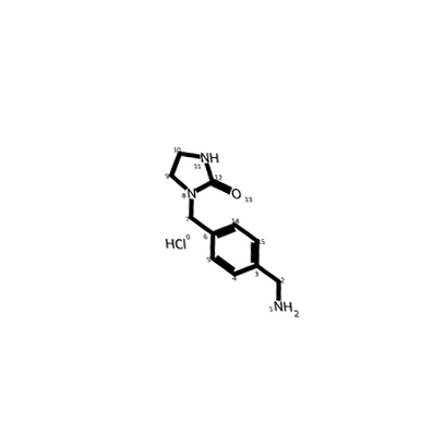 Cl.NCc1ccc(CN2CCNC2=O)cc1